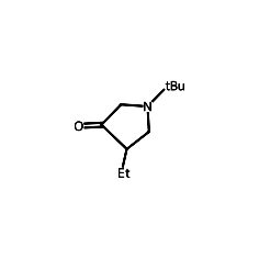 CCC1CN(C(C)(C)C)CC1=O